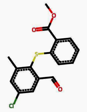 COC(=O)c1ccccc1Sc1c(C)cc(Cl)cc1C=O